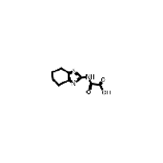 O=C(O)C(=O)Nc1nc2c(s1)CCCC2